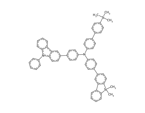 C[Si](C)(C)c1ccc(-c2ccc(N(c3ccc(-c4ccc5c(c4)-c4ccccc4[Si]5(C)C)cc3)c3ccc(-c4ccc5c(c4)c4ccccc4n5-c4ccccc4)cc3)cc2)cc1